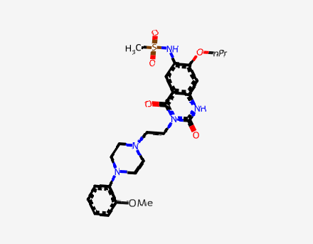 CCCOc1cc2[nH]c(=O)n(CCN3CCN(c4ccccc4OC)CC3)c(=O)c2cc1NS(C)(=O)=O